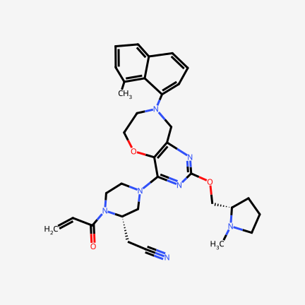 C=CC(=O)N1CCN(c2nc(OC[C@@H]3CCCN3C)nc3c2OCCN(c2cccc4cccc(C)c24)C3)C[C@@H]1CC#N